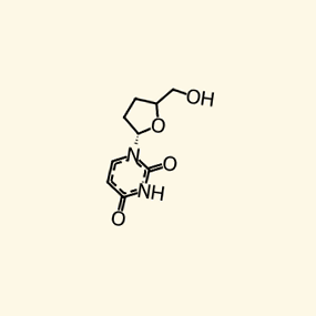 O=c1ccn([C@@H]2CCC(CO)O2)c(=O)[nH]1